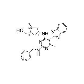 Cc1nc(NCc2ccncc2)nc(N[C@@H]2C[C@H](CO)[C@@H](C)C2)c1-c1nc2ccccc2s1